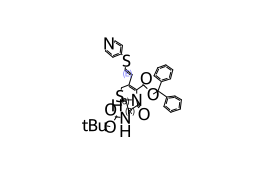 CC(C)(C)OC(=O)N[C@@H]1C(=O)N2C(C(=O)OC(c3ccccc3)c3ccccc3)=C(/C=C/Sc3ccncc3)CS[C@@H]12